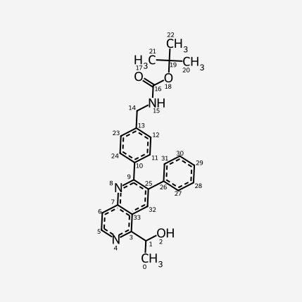 CC(O)c1nccc2nc(-c3ccc(CNC(=O)OC(C)(C)C)cc3)c(-c3ccccc3)cc12